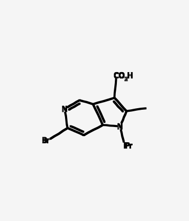 Cc1c(C(=O)O)c2cnc(Br)cc2n1C(C)C